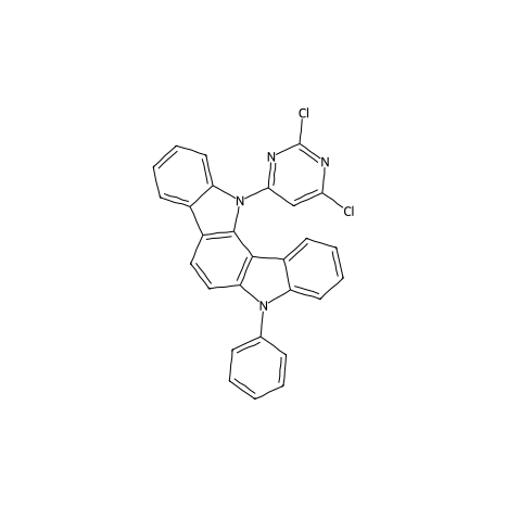 Clc1cc(-n2c3ccccc3c3ccc4c(c5ccccc5n4-c4ccccc4)c32)nc(Cl)n1